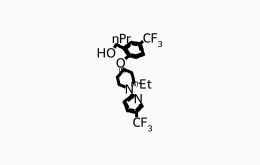 CCCC(O)c1cc(C(F)(F)F)ccc1O[C@H]1CCN(c2ccc(C(F)(F)F)cn2)[C@@H](CC)C1